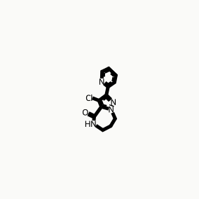 O=C1NCCCn2nc(-c3ccccn3)c(Cl)c21